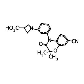 CC1(C)Oc2cc(C#N)ccc2N(c2cccc(N3CC(C(=O)O)C3)c2)C1=O